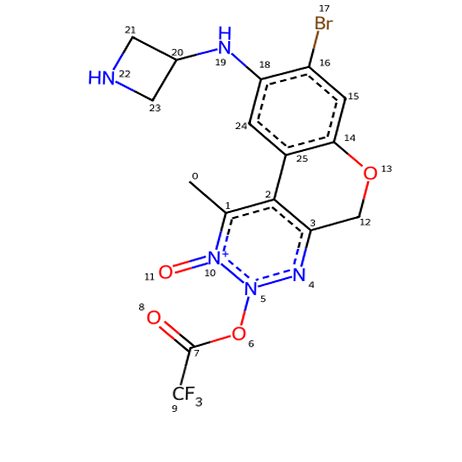 Cc1c2c(nn(OC(=O)C(F)(F)F)[n+]1=O)COc1cc(Br)c(NC3CNC3)cc1-2